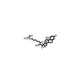 C[C@@H]1CC2C3CCC4=CC(=O)C=C[C@]4(C)[C@@]3(F)[C@@H](O)C[C@]2(C)[C@@]1(OC(=O)CCCCCON(O)O)C(=O)CO